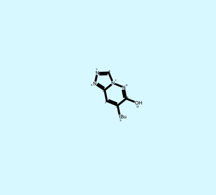 CC(C)(C)c1cc2nncn2nc1O